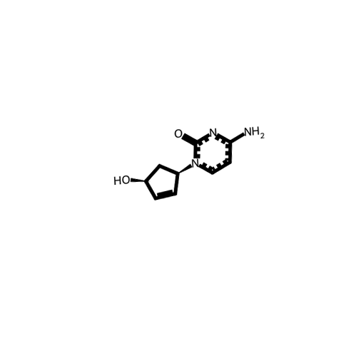 Nc1ccn([C@H]2C=C[C@@H](O)C2)c(=O)n1